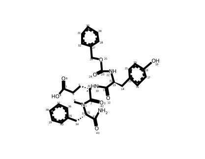 CN(C(=O)[C@H](CCC(=O)O)NC(=O)[C@H](Cc1ccc(O)cc1)NC(=O)OCc1ccccc1)[C@@H](Cc1ccccc1)C(N)=O